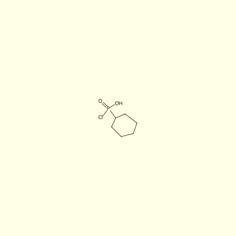 O=P(O)(Cl)C1CCCCC1